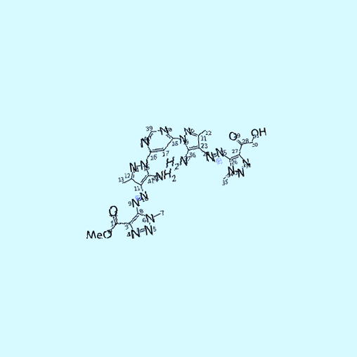 COC(=O)c1nnn(C)c1/N=N/c1c(C)nn(-c2cc(-n3nc(C)c(/N=N/c4c(C(=O)CO)nnn4C)c3N)ncn2)c1N